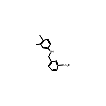 Cc1ccc(NCc2cccc(C(=O)O)c2)cc1C